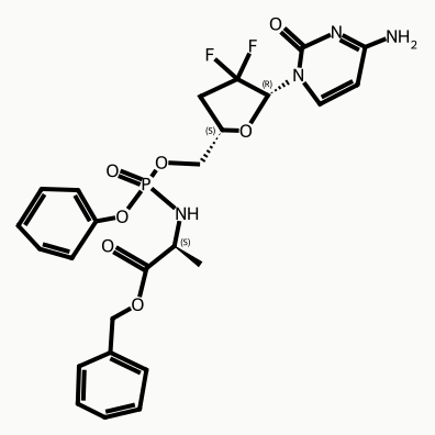 C[C@H](NP(=O)(OC[C@@H]1CC(F)(F)[C@H](n2ccc(N)nc2=O)O1)Oc1ccccc1)C(=O)OCc1ccccc1